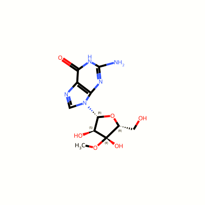 CO[C@@]1(O)[C@@H](CO)O[C@@H](n2cnc3c(=O)[nH]c(N)nc32)[C@@H]1O